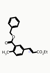 CCOC(=O)/C=C/c1ccc(C)c(C(=O)OCc2ccccc2)c1